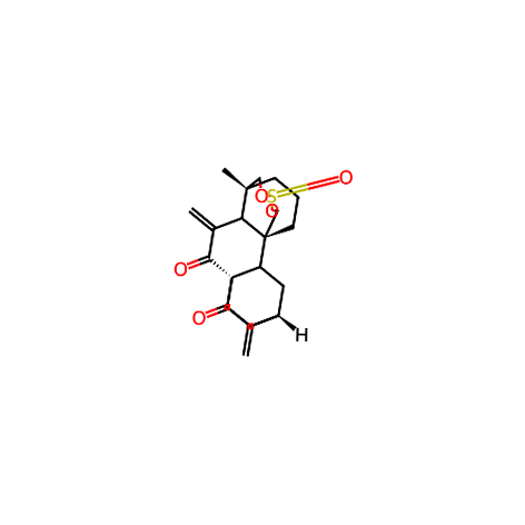 C=C1C(=O)[C@@]23CC[C@@H](CC2[C@@]24CCC[C@@](C)(COS(=O)OC2)C14)C(=C)C3=O